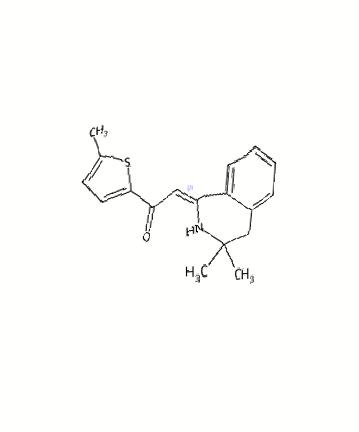 Cc1ccc(C(=O)/C=C2\NC(C)(C)Cc3ccccc32)s1